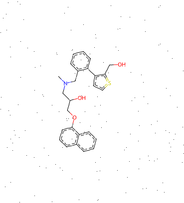 CN(Cc1ccccc1-c1ccsc1CO)CC(O)COc1cccc2ccccc12